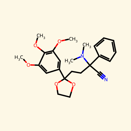 COc1cc(C2(CCC(C#N)(c3ccccc3)N(C)C)OCCO2)cc(OC)c1OC